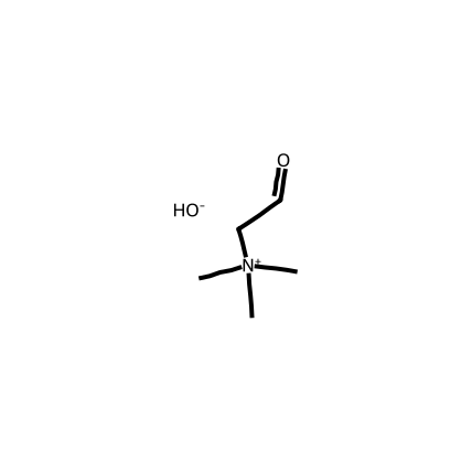 C[N+](C)(C)CC=O.[OH-]